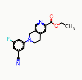 CCOC(=O)c1cc2c(cn1)CN(c1cc(F)cc(C#N)c1)CC2